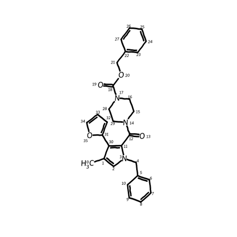 Cc1cn(Cc2ccccc2)c(C(=O)N2CCN(C(=O)OCc3ccccc3)CC2)c1-c1ccco1